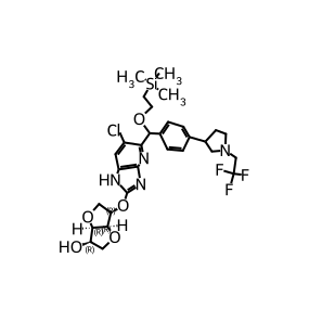 C[Si](C)(C)CCOC(c1ccc(C2CCN(CC(F)(F)F)C2)cc1)c1nc2nc(O[C@@H]3CO[C@H]4[C@@H]3OC[C@H]4O)[nH]c2cc1Cl